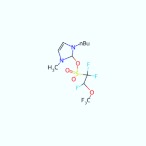 CCCCN1C=CN(C)C1OS(=O)(=O)C(F)(F)C(F)OC(F)(F)F